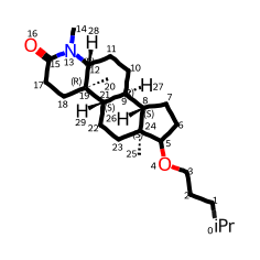 CC(C)CCCOC1CC[C@H]2[C@@H]3CC[C@H]4N(C)C(=O)CC[C@]4(C)[C@H]3CC[C@]12C